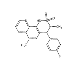 Cc1cc2c(c3ncccc13)NS(=O)(=O)N(C)C2c1ccc(F)cc1